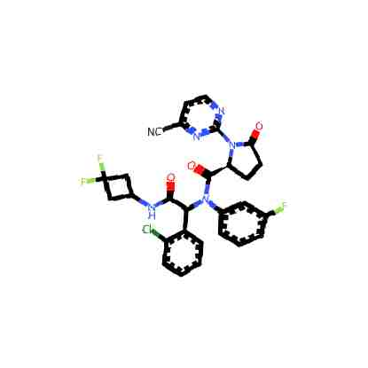 N#Cc1ccnc(N2C(=O)CC[C@H]2C(=O)N(c2cccc(F)c2)C(C(=O)NC2CC(F)(F)C2)c2ccccc2Cl)n1